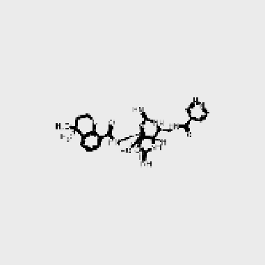 CC1(C)CCOc2c(C(=O)N[C@H]3CN4C(=N)N[C@@H](CNC(=O)c5ccnnc5)[C@@H]5NC(=N)N[C@@]54C3(O)O)cccc21